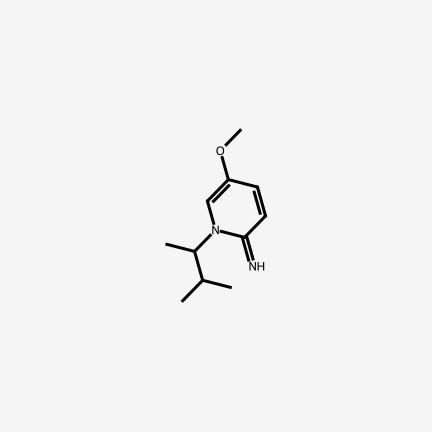 COc1ccc(=N)n(C(C)C(C)C)c1